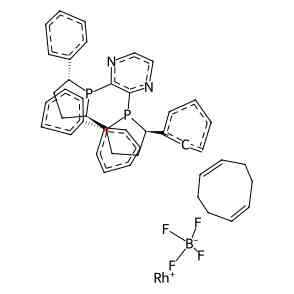 C1=CCCC=CCC1.F[B-](F)(F)F.[Rh+].c1ccc([C@H]2CC[C@H](c3ccccc3)P2c2nccnc2P2[C@@H](c3ccccc3)CC[C@@H]2c2ccccc2)cc1